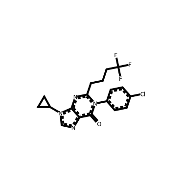 O=c1c2ncn(C3CC3)c2nc(CCCC(F)(F)F)n1-c1ccc(Cl)cc1